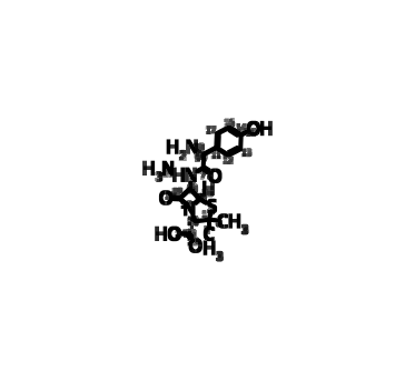 CC1(C)S[C@@H]2[C@H](NC(=O)[C@H](N)c3ccc(O)cc3)C(=O)N2[C@H]1C(=O)O.N